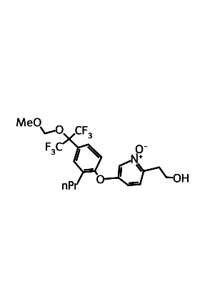 CCCc1cc(C(OCOC)(C(F)(F)F)C(F)(F)F)ccc1Oc1ccc(CCO)[n+]([O-])c1